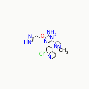 Cn1ccc(-c2nc(N)c(OCCc3c[nH]cn3)nc2-c2cc(Cl)c3ncccc3c2)n1